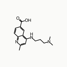 Cc1cc(NCCCN(C)C)c2cc(C(=O)O)ccc2n1